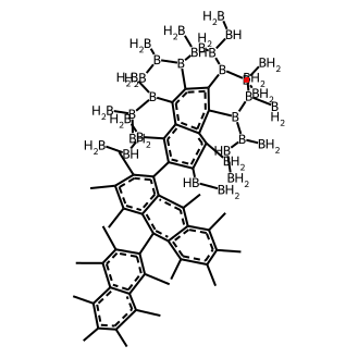 BBB(B)B(B(B)B)c1c(B(BB)B(B)B)c(B(B)B(B)B)c2c(B(B)BB)c(-c3c(C)c(C)c(C)c4c(-c5c(C)c(C)c6c(C)c(C)c(C)c(C)c6c5C)c5c(C)c(C)c(C)c(C)c5c(C)c34)c(BB)c(B)c2c1B(B(B)B)B(B)BB